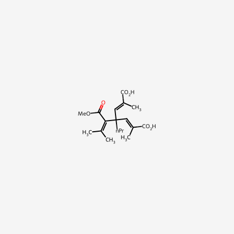 CCCC(C=C(C)C(=O)O)(C=C(C)C(=O)O)C(C(=O)OC)=C(C)C